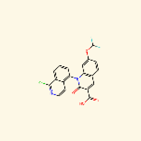 O=C(O)c1cc2ccc(OC(F)F)cc2n(-c2cccc3c(Cl)nccc23)c1=O